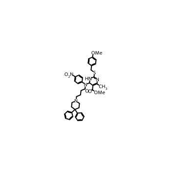 COC(=O)C1=C(C)N=C(SCc2ccc(OC)cc2)NC1N(C(=O)CCCN1CCC(c2ccccc2)(c2ccccc2)CC1)c1ccc([N+](=O)[O-])cc1